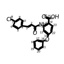 O=C(C=Cc1ccc(Cl)cc1)Nc1cc(Oc2ccccc2)ccc1C(=O)O